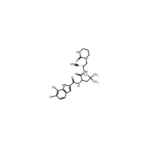 C#C[C@H](C[C@@H]1CCCNC1=O)NC(=O)C(CC(C)(C)C)NC(=O)c1cc2ccc(Cl)c(Cl)c2[nH]1